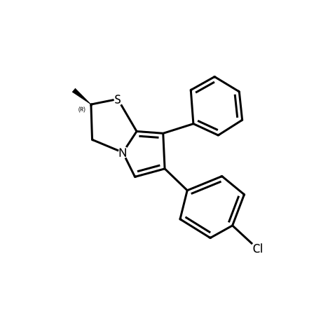 C[C@@H]1Cn2cc(-c3ccc(Cl)cc3)c(-c3ccccc3)c2S1